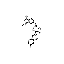 CC(=O)N1CN(C(C)=O)c2cc(Cn3cnc(OCc4ccc(F)cc4F)c(Cl)c3=O)ccc21